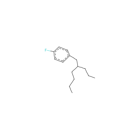 CCCCC(CCC)Cc1ccc(F)cc1